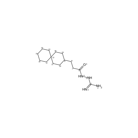 N=C(N)NNC(=O)CCC1CCC2(CCCCC2)CC1